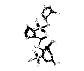 Cc1cc(C)c(NC(=O)c2sccc2S(=O)(=O)Nc2oncc2Cl)c(S(=O)(=O)C(C)C)c1